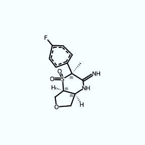 C[C@]1(c2ccc(F)cc2)C(=N)N[C@H]2COC[C@H]2S1(=O)=O